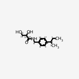 CCC(C)c1ccc(CNC(=O)C(O)CO)cc1